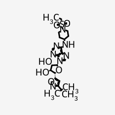 CCS(=O)(=O)N1CCC(Nc2ncnc3c2ncn3[C@@H]2O[C@H](c3cc(C(C)(C)C)no3)[C@@H](O)[C@H]2O)CC1